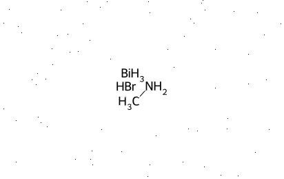 Br.CN.[BiH3]